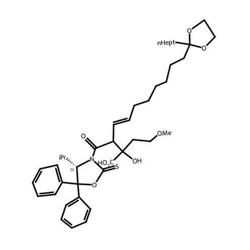 CCCCCCCC1(CCCCCCC=CC(C(=O)N2C(=S)OC(c3ccccc3)(c3ccccc3)[C@@H]2C(C)C)C(O)(CCOC)C(=O)O)OCCO1